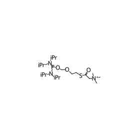 CC(C)N(C(C)C)P(OCOCCSC(=O)C[N+](C)(C)C)N(C(C)C)C(C)C